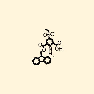 CCS(=O)(=O)c1cc(C(=O)O)c(N)c(C(=O)OCC2c3ccccc3-c3ccccc32)c1